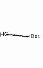 [CH]=C/C=C/CCCCCCCCCCCCCCCCCCCCCCCCCCCCCCCC